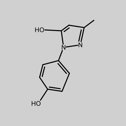 Cc1cc(O)n(-c2ccc(O)cc2)n1